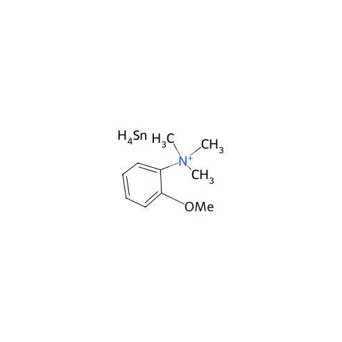 COc1ccccc1[N+](C)(C)C.[SnH4]